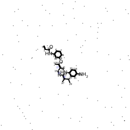 C=CC(=O)Nc1cccc(O/C(C)=C(F)/C=N\C(Nc2ccc(N)cc2)=C(/C)CC)c1